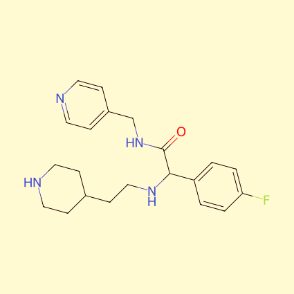 O=C(NCc1ccncc1)C(NCCC1CCNCC1)c1ccc(F)cc1